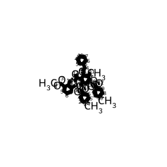 COC(=O)c1cccc2c1CN(C(=O)c1c(OS(=O)(=O)c3ccc(C)cc3)cc(OS(=O)(=O)c3ccc(C)cc3)c(C)c1OCc1ccccc1)C2